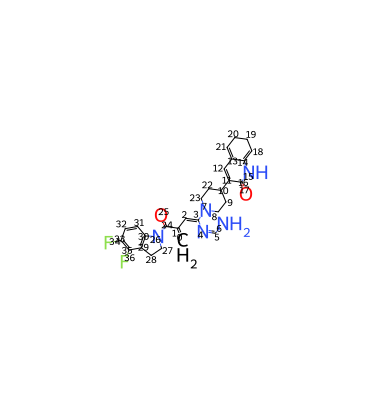 C=C(/C=C(\N=C/N)N1CCC(c2cc3c([nH]c2=O)=CCCC=3)CC1)C(=O)N1CCc2c1ccc(F)c2F